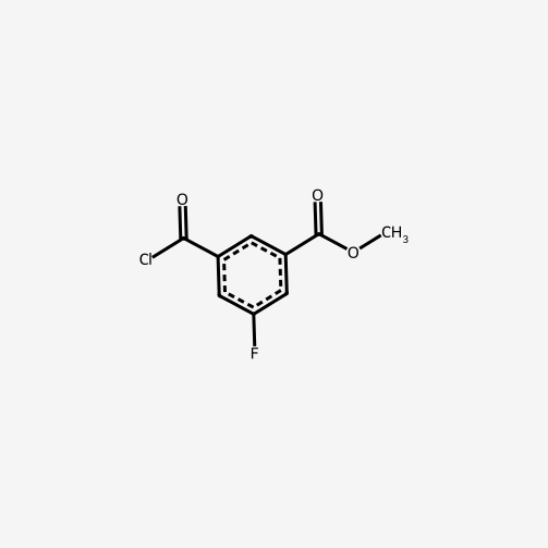 COC(=O)c1cc(F)cc(C(=O)Cl)c1